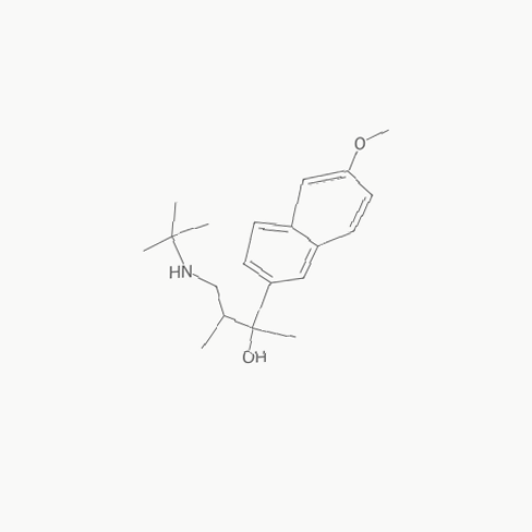 COc1ccc2cc(C(C)(O)C(C)CNC(C)(C)C)ccc2c1